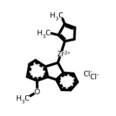 COc1cccc2c1-c1ccccc1[CH]2[Zr+2][C]1=C(C)C(C)=CC1.[Cl-].[Cl-]